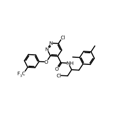 Cc1ccc(CC(CCl)NC(=O)c2cc(Cl)nnc2Oc2cccc(C(F)(F)F)c2)c(C)c1